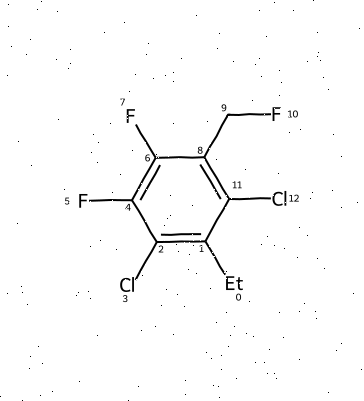 CCc1c(Cl)c(F)c(F)c(CF)c1Cl